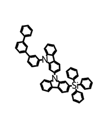 c1ccc(-c2cccc(-c3cccc(-n4c5ccccc5c5ccc(-n6c7ccccc7c7ccc([Si](c8ccccc8)(c8ccccc8)c8ccccc8)cc76)cc54)c3)c2)cc1